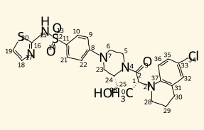 C[C@H](C(=O)N1CCN(c2ccc(S(=O)(=O)Nc3nccs3)cc2)C[C@H]1CO)N1CCCc2cc(Cl)ccc21